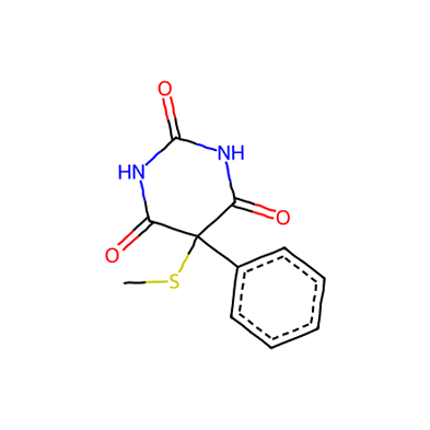 CSC1(c2ccccc2)C(=O)NC(=O)NC1=O